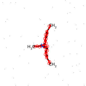 C=CC(=O)CCCCCCCOc1ccc(OC(=O)C2CCC(OC(=O)c3ccc(C(=O)Oc4cccc(-c5nc6ccc(OCCOCCOCC)cc6nc5-c5cccc(OC(=O)c6ccc(C(=O)OC7CCC(C(=O)Oc8ccc(OCCCCCCOC(=O)C=C)cc8)CC7)cc6)c5)c4)cc3)CC2)cc1